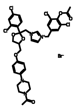 CC(=O)Oc1c(Cl)cc(C[n+]2ccn(CC3(c4ccc(Cl)cc4Cl)OCC(COc4ccc(N5CCN(C(C)=O)CC5)cc4)O3)c2)cc1Cl.[Br-]